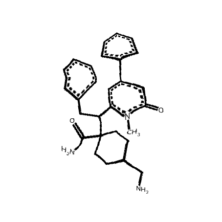 Cn1c(C(Cc2ccccc2)C2(C(N)=O)CCC(CN)CC2)cc(-c2ccccc2)cc1=O